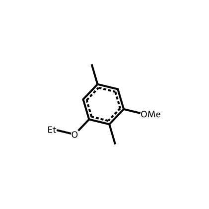 CCOc1cc(C)cc(OC)c1C